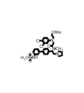 COCCN(CC(=O)N(C)C(CN1CCCC1)c1ccc(-c2cccc(NS(C)(=O)=O)c2)cc1)c1ccc(Cl)c(Cl)c1